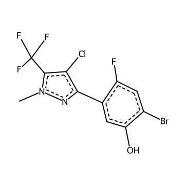 Cn1nc(-c2cc(O)c(Br)cc2F)c(Cl)c1C(F)(F)F